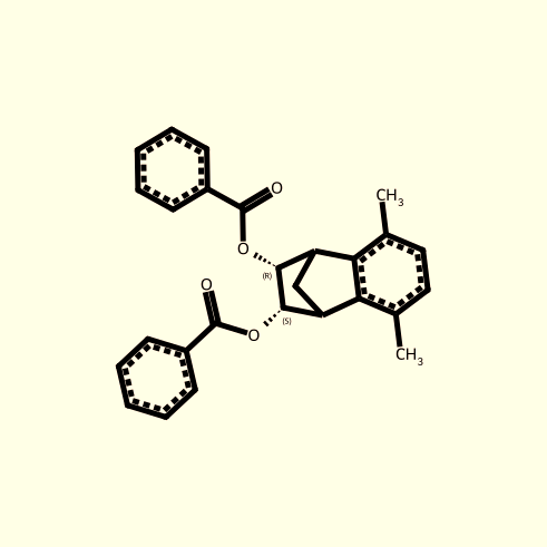 Cc1ccc(C)c2c1C1CC2[C@H](OC(=O)c2ccccc2)[C@@H]1OC(=O)c1ccccc1